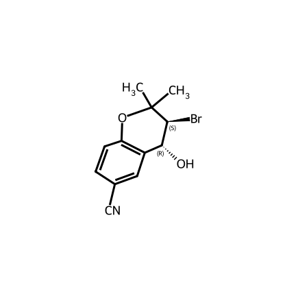 CC1(C)Oc2ccc(C#N)cc2[C@@H](O)[C@@H]1Br